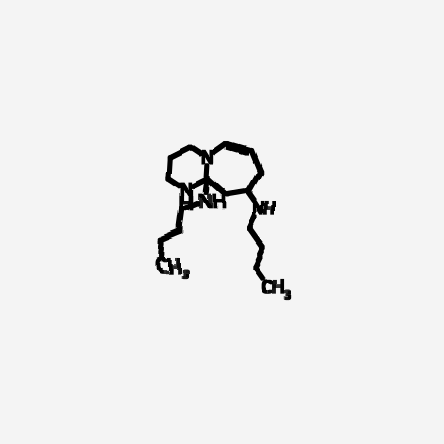 CCCCNC1CC=CN2CCCNC2(NCCCC)C1